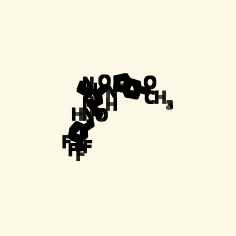 CC(=O)c1ccc2c(c1)CC[C@@H]2NC(=O)c1cc(C(=O)NCc2ccc(F)c(C(F)(F)F)c2)nc2ccnn12